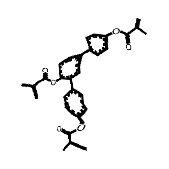 C=C(C)C(=O)Oc1ccc(-c2ccc(OC(=O)C(=C)C)c(-c3ccc(OC(=O)C(=C)C)cc3)c2)cc1